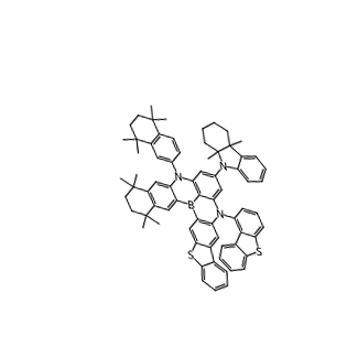 CC1(C)CCC(C)(C)c2cc(N3c4cc5c(cc4B4c6cc7sc8ccccc8c7cc6N(c6cccc7sc8ccccc8c67)c6cc(N7c8ccccc8C8(C)CCCCC78C)cc3c64)C(C)(C)CCC5(C)C)ccc21